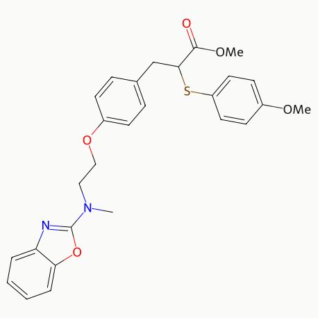 COC(=O)C(Cc1ccc(OCCN(C)c2nc3ccccc3o2)cc1)Sc1ccc(OC)cc1